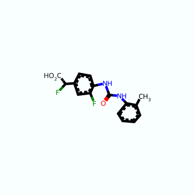 Cc1ccccc1NC(=O)Nc1ccc(C(F)C(=O)O)cc1F